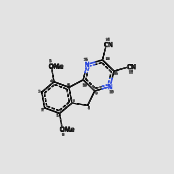 COc1ccc(OC)c2c1Cc1nc(C#N)c(C#N)nc1-2